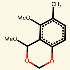 COc1c(C)ccc2c1C(OC)OCO2